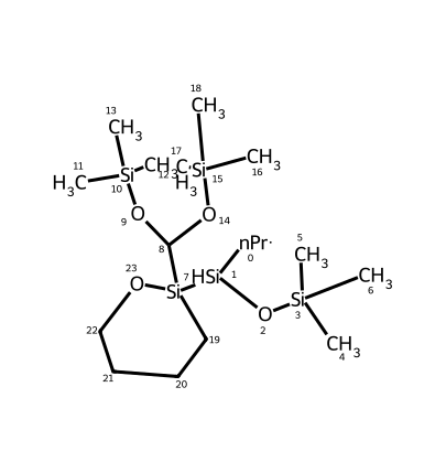 CC[CH][SiH](O[Si](C)(C)C)[Si]1(C(O[Si](C)(C)C)O[Si](C)(C)C)CCCCO1